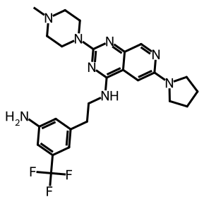 CN1CCN(c2nc(NCCc3cc(N)cc(C(F)(F)F)c3)c3cc(N4CCCC4)ncc3n2)CC1